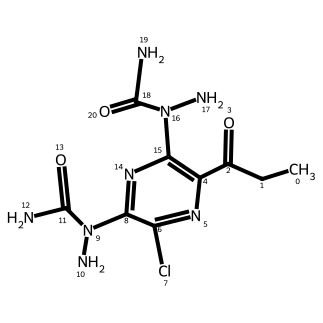 CCC(=O)c1nc(Cl)c(N(N)C(N)=O)nc1N(N)C(N)=O